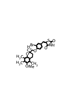 COc1c(C)c(C)c2c(c1C)CCC(C)(COc1ccc(C=C3SC(=O)NC3=O)cc1Br)O2